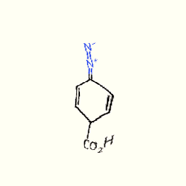 [N-]=[N+]=C1C=CC(C(=O)O)C=C1